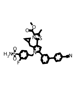 COC(=O)c1nc(-c2cc(-c3cccc(-c4ccc(C#N)cc4)c3)n(Cc3ccc(S(N)(=O)=O)c(F)c3)c2CC2CC2)sc1C